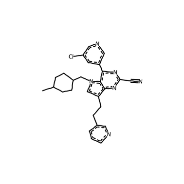 CC1CCC(Cn2cc(CCc3cccnc3)c3nc(C#N)nc(-c4cncc(Cl)c4)c32)CC1